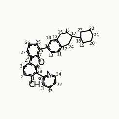 Cc1ccc2c(oc3c(-c4ccc5c(c4)CCC(C4CCCCC4)C5)cccc32)c1-c1ccccn1